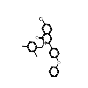 Cc1ccc(Cn2c(-c3ccc(Oc4ccccc4)cc3)cc3ccc(Cl)cc3c2=O)c(C)c1